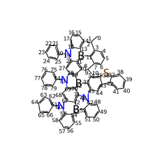 CC(C)c1cccc(C(C)C)c1B1c2ccccc2N(c2ccccc2)c2cc3c(cc21)B1c2cc4sc5ccccc5c4cc2N2c4ccccc4B4c5ccccc5N(c5ccccc5)c5cc(c1c2c54)N3c1ccccc1